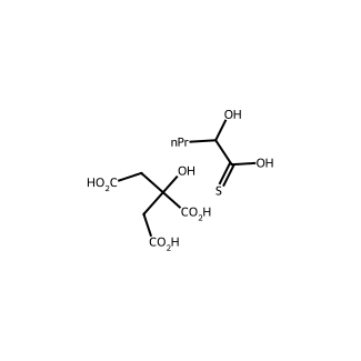 CCCC(O)C(O)=S.O=C(O)CC(O)(CC(=O)O)C(=O)O